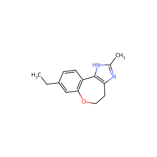 CCc1ccc2c(c1)OCCc1nc(C)[nH]c1-2